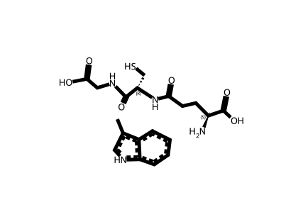 Cc1c[nH]c2ccccc12.N[C@@H](CCC(=O)N[C@@H](CS)C(=O)NCC(=O)O)C(=O)O